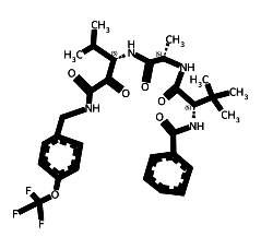 CC(C)[C@H](NC(=O)[C@H](C)NC(=O)[C@@H](NC(=O)c1ccccc1)C(C)(C)C)C(=O)C(=O)NCc1ccc(OC(F)(F)F)cc1